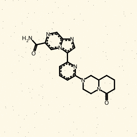 NC(=O)c1cn2c(-c3cccc(N4CCN5C(=O)CCCC5C4)n3)cnc2cn1